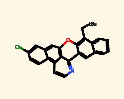 CC(C)(C)Cc1c2c(cc3ccccc13)-c1nccc3c1c(cc1cc(Cl)ccc13)O2